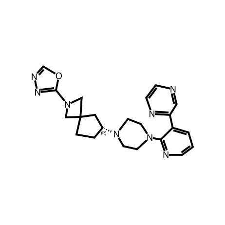 c1cnc(N2CCN([C@@H]3CCC4(C3)CN(c3nnco3)C4)CC2)c(-c2cnccn2)c1